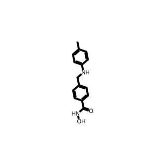 Cc1ccc(NCc2ccc(C(=O)NO)cc2)cc1